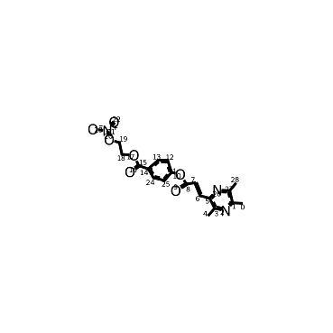 Cc1nc(C)c(/C=C/C(=O)Oc2ccc(C(=O)OCCO[N+](=O)[O-])cc2)nc1C